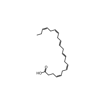 CC/C=C\C/C=C\C/C=C/C/C=C/C/C=C\C/C=C\CCC(=O)O